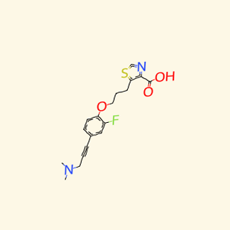 CN(C)CC#Cc1ccc(OCCCc2scnc2C(=O)O)c(F)c1